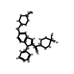 CC(C)N1CCC(Oc2ccc3c(c2)cc(C(=O)N2CCC(F)(F)CC2)n3-c2cncnc2)CC1